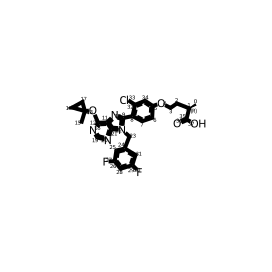 C[C@H](CCOc1ccc(-c2nc3c(OC4(C)CC4)ncnc3n2Cc2cc(F)cc(F)c2)c(Cl)c1)C(=O)O